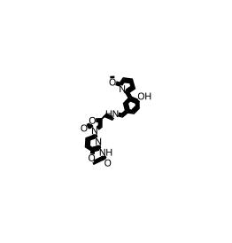 COc1cccc(-c2cc(CNCC[C@H]3CN(c4ccc5c(n4)NC(=O)CO5)C(=O)O3)ccc2O)n1